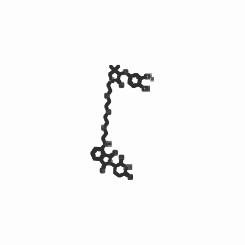 CC1(C)CN(CCOCCOCCOCCNc2cccc3c2C(=O)N(C2CCC(=O)NC2=O)C3=O)C(=O)C1Oc1ccc(C#N)c(C(F)(F)F)c1